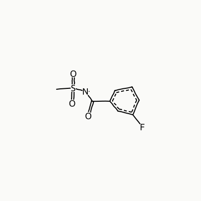 CS(=O)(=O)[N]C(=O)c1cccc(F)c1